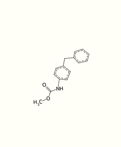 COC(=O)Nc1ccc(Cc2ccccc2)cc1